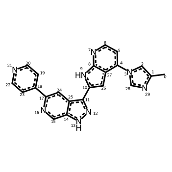 Cc1cn(-c2ccnc3[nH]c(-c4n[nH]c5cnc(-c6ccncc6)cc45)cc23)cn1